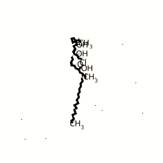 CCCCCCCCCCCCCCCCCCN(C)CCC(CC/C=C\CC[C@H](/C=C/C[C@H](O)C1(CC)CCC1)[C@H](O)CCCl)C(=O)O